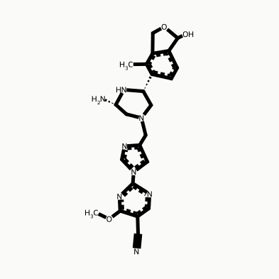 COc1nc(-n2cnc(CN3C[C@@H](c4ccc5c(c4C)COC5O)N[C@@H](N)C3)c2)ncc1C#N